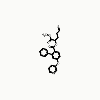 COC(=O)C(CCC=S)OC(=O)c1ccc(Oc2cccnc2)cc1-c1ccccc1